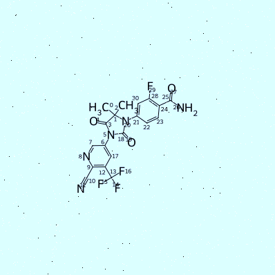 CC1(C)C(=O)N(c2cnc(C#N)c(C(F)(F)F)c2)C(=O)N1c1ccc(C(N)=O)c(F)c1